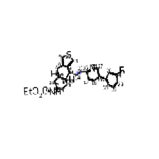 CCOC(=O)N[C@@H]1CC[C@@H]2[C@H](Cc3cscc3[C@H]2/C=C/c2ccc(-c3cccc(F)c3)cn2)C1